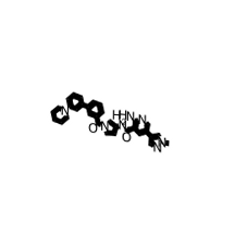 Cn1cc(-c2cnc(N)c(C(=O)NC3CCN(C(=O)c4cccc(-c5cccc(N6CCCCC6)c5)c4)C3)c2)cn1